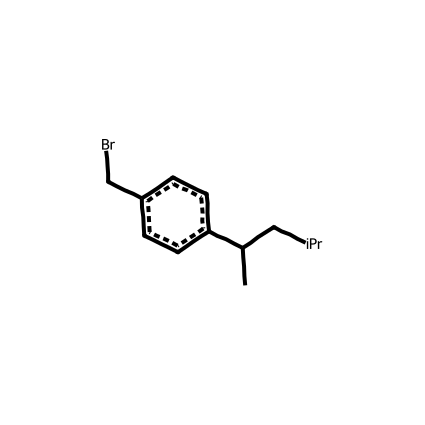 CC(C)CC(C)c1ccc(CBr)cc1